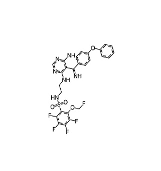 N=C(c1ccc(Oc2ccccc2)cc1)c1c(N)ncnc1NCCNS(=O)(=O)c1c(F)c(F)c(F)c(F)c1OCF